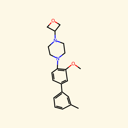 COc1cc(-c2cccc(C)c2)ccc1N1CCN(C2COC2)CC1